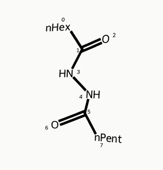 CCCCCCC(=O)NNC(=O)CCCCC